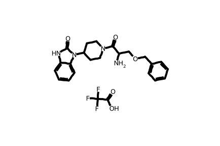 NC(COCc1ccccc1)C(=O)N1CCC(n2c(=O)[nH]c3ccccc32)CC1.O=C(O)C(F)(F)F